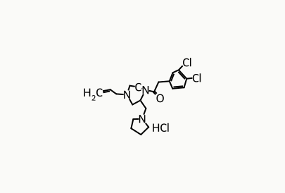 C=CCN1CCN(C(=O)Cc2ccc(Cl)c(Cl)c2)C(CN2CCCC2)C1.Cl